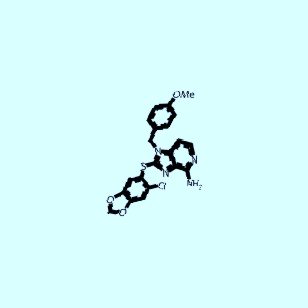 COc1ccc(Cn2c(Sc3cc4c(cc3Cl)OCO4)nc3c(N)nccc32)cc1